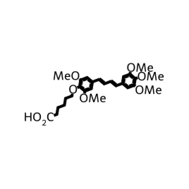 COc1cc(C=CC=Cc2cc(OC)c(OCCCCCC(=O)O)c(OC)c2)cc(OC)c1OC